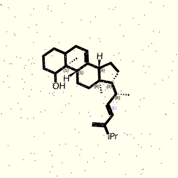 C=C(/C=C/[C@@H](C)[C@H]1CC[C@H]2C3=CCC4CCCC(O)[C@]4(C)[C@H]3CC[C@]12C)C(C)C